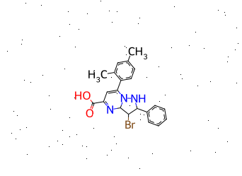 Cc1ccc(C2=CC(C(=O)O)=NC3C(Br)C(c4ccccc4)NN23)c(C)c1